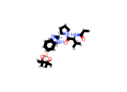 CCC(=O)N[C@H](C(=O)N1CCC[C@H]1c1nc2ccc(B3OC(C)(C)C(C)(C)O3)cc2[nH]1)C(C)C